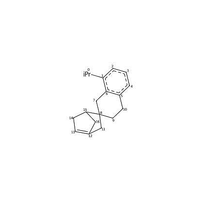 CC(C)c1cccc2c1CC1(CC2)CC2=CCC1C2